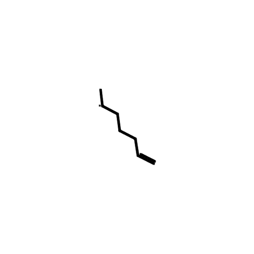 C=CCCC[CH]C